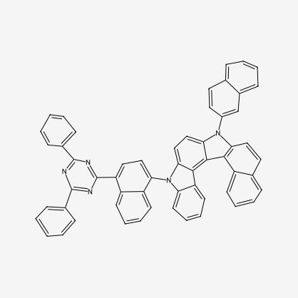 c1ccc(-c2nc(-c3ccccc3)nc(-c3ccc(-n4c5ccccc5c5c6c7c8ccccc8ccc7n(-c7ccc8ccccc8c7)c6ccc54)c4ccccc34)n2)cc1